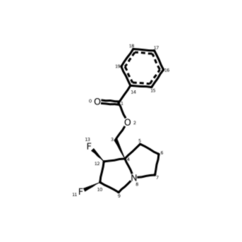 O=C(OC[C@@]12CCCN1C[C@@H](F)[C@H]2F)c1ccccc1